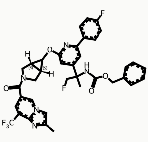 Cc1cn2cc(C(=O)N3C[C@@H]4C(Oc5cc(C(C)(CF)NC(=O)OCc6ccccc6)cc(-c6ccc(F)cc6)n5)[C@@H]4C3)cc(C(F)(F)F)c2n1